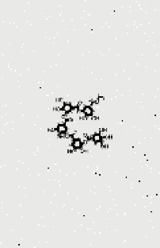 CCOC(=O)c1cc(O)c(O)c(OC(=O)c2cc(O)c(O)c(OC(=O)c3cc(O)c(O)c(OC(=O)c4cc(O)c(O)c(OC(=O)c5cc(O)c(O)c(O)c5)c4)c3)c2)c1